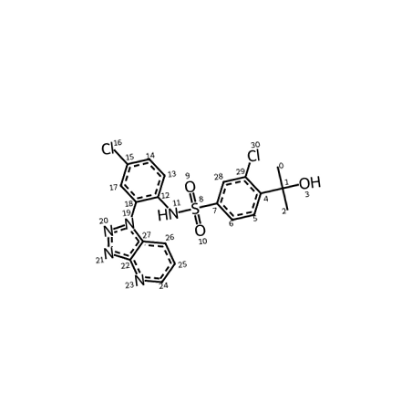 CC(C)(O)c1ccc(S(=O)(=O)Nc2ccc(Cl)cc2-n2nnc3ncccc32)cc1Cl